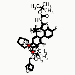 CC(C)(C)OC(=O)Nc1sc2c(F)ccc(-c3c(C(F)(F)F)cc4c(N5C6CCC5CN(C(=O)OC(C)(C)C)C6)nc(OCC56COC(C5)C6)nc4c3F)c2c1C#N